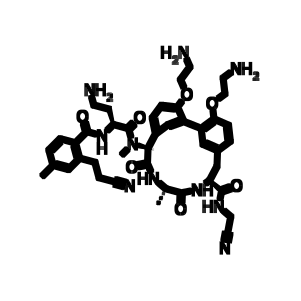 Cc1ccc(C(=O)N[C@@H](CCN)C(=O)N(C)[C@@H]2C(=O)N[C@@H](C)C(=O)N[C@H](C(=O)NCC#N)Cc3ccc(OCCN)c(c3)-c3cc2ccc3OCCN)c(CCC#N)c1